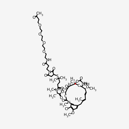 COc1cc2cc(c1Cl)N(C)C(=O)C[C@H](OC(=O)[C@H](C)N(C)C(=O)CCC(C)(C)SC1CC(=O)N(CCC(=O)NCCOCCOCCOCCOCCC(C)=O)C1=O)[C@]1(C)O[C@H]1[C@H](C)[C@@H]1C[C@@](O)(NC(=O)O1)[C@H](OC)/C=C/C=C(\C)C2